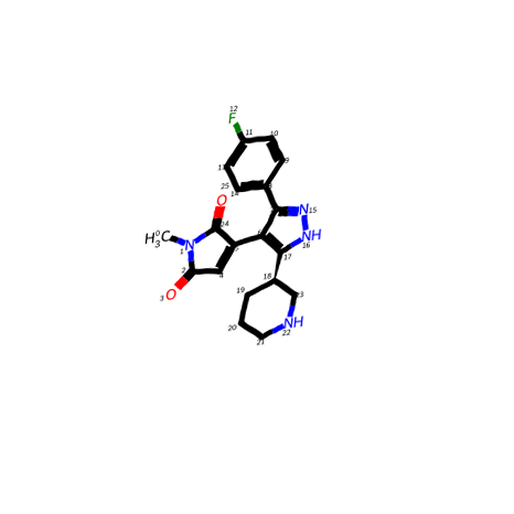 CN1C(=O)C=C(c2c(-c3ccc(F)cc3)n[nH]c2[C@@H]2CCCNC2)C1=O